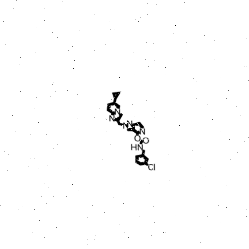 O=C(NCc1cccc(Cl)c1)Oc1nccc2nn(Cc3cn4cc(C5CC5)ccc4n3)cc12